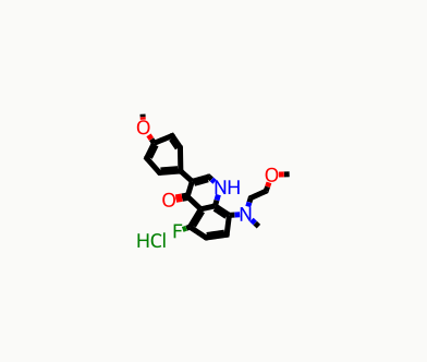 COCCN(C)c1ccc(F)c2c(=O)c(-c3ccc(OC)cc3)c[nH]c12.Cl